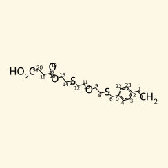 C=Cc1ccc(CSCCOCCSCCOC(=O)CCC(=O)O)cc1